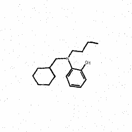 CCCCN(CC1CCCCC1)c1ccccc1O